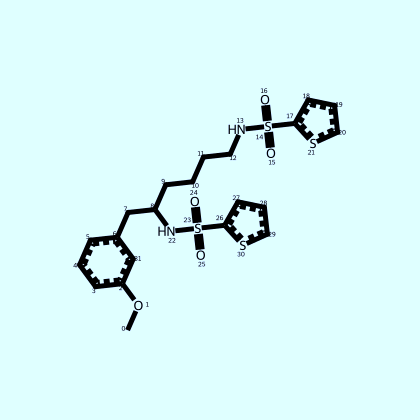 COc1cccc(CC(CCCCNS(=O)(=O)c2cccs2)NS(=O)(=O)c2cccs2)c1